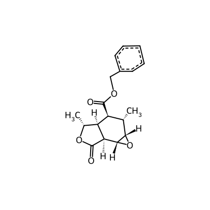 C[C@@H]1[C@@H]2O[C@@H]2[C@H]2C(=O)O[C@H](C)[C@H]2[C@H]1C(=O)OCc1ccccc1